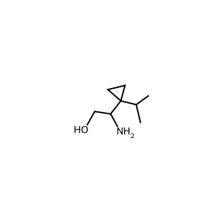 CC(C)C1(C(N)CO)CC1